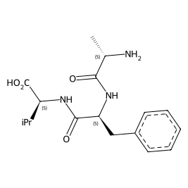 CC(C)[C@H](NC(=O)[C@H](Cc1ccccc1)NC(=O)[C@H](C)N)C(=O)O